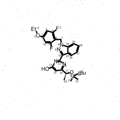 CCOc1cc(F)c(Cn2nc(-c3nc(O)cc([C@H](C)O[Si](C)(C)C(C)(C)C)n3)c3ccccc32)c(F)c1